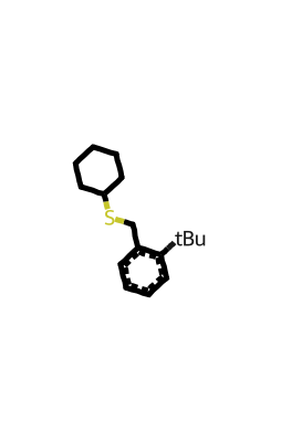 CC(C)(C)c1ccccc1CSC1CCCCC1